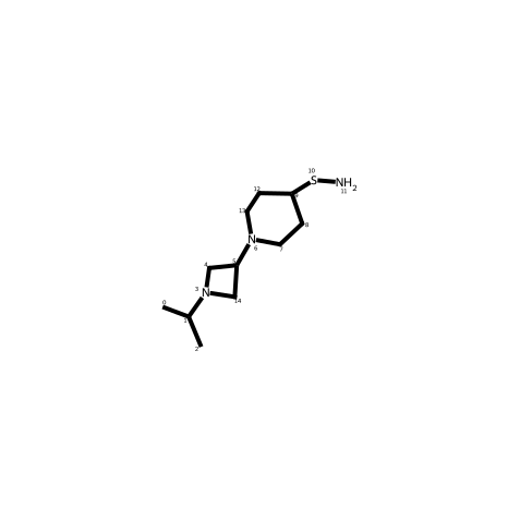 CC(C)N1CC(N2CCC(SN)CC2)C1